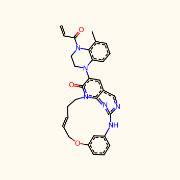 C=CC(=O)N1CCN(c2cc3cnc4nc3n(c2=O)CC/C=C/COc2cccc(c2)N4)c2cccc(C)c21